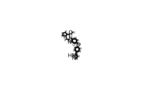 COCC1CCCN1Cc1nc2cc(Oc3ccc(-c4ccn[nH]4)cc3)ccc2[nH]1